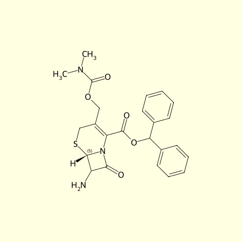 CN(C)C(=O)OCC1=C(C(=O)OC(c2ccccc2)c2ccccc2)N2C(=O)C(N)[C@@H]2SC1